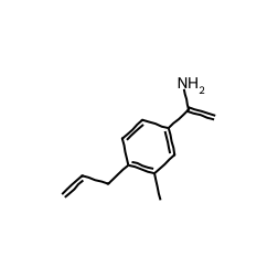 C=CCc1ccc(C(=C)N)cc1C